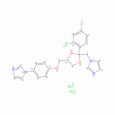 Cl.Cl.Clc1ccc(C2(Cn3ccnc3)OCC(COc3ccc(-n4ccnc4)cc3)O2)c(Cl)c1